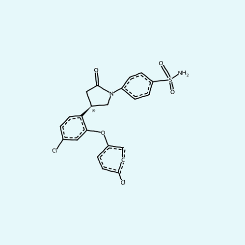 NS(=O)(=O)c1ccc(N2C[C@@H](c3ccc(Cl)cc3Oc3ccc(Cl)cc3)CC2=O)cc1